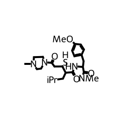 CNC(=O)C(Cc1ccc(OC)cc1)NC(=O)C(CC(C)C)C(S)CC(=O)N1CCN(C)CC1